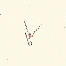 C=CCCC(Cc1ccccc1)C[SiH](OCCCCCCCCC)OCCCCCCCCC